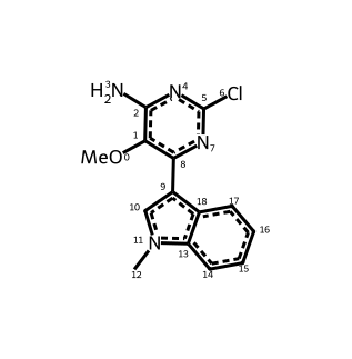 COc1c(N)nc(Cl)nc1-c1cn(C)c2ccccc12